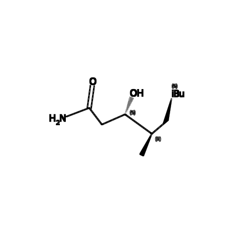 CC[C@H](C)C[C@@H](C)[C@@H](O)CC(N)=O